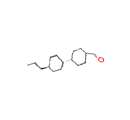 CCC[C@H]1CC[C@H](C2CCC(C=O)CC2)CC1